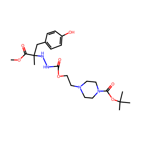 COC(=O)C(C)(Cc1ccc(O)cc1)NNC(=O)OCCN1CCN(C(=O)OC(C)(C)C)CC1